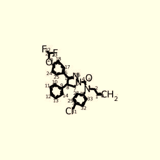 C=CCN(C(=O)N1CC(c2ccccc2)C(c2ccc(OC(F)F)cc2)=N1)c1ccc(Cl)cc1